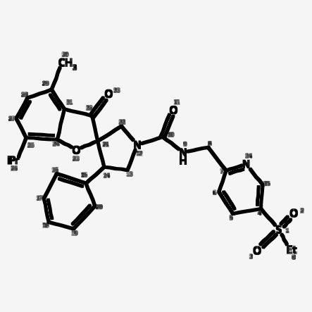 CCS(=O)(=O)c1ccc(CNC(=O)N2CC(c3ccccc3)C3(C2)Oc2c(C(C)C)ccc(C)c2C3=O)nc1